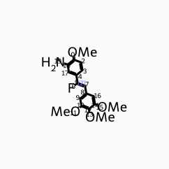 COc1ccc(/C(F)=C/c2cc(OC)c(OC)c(OC)c2)cc1N